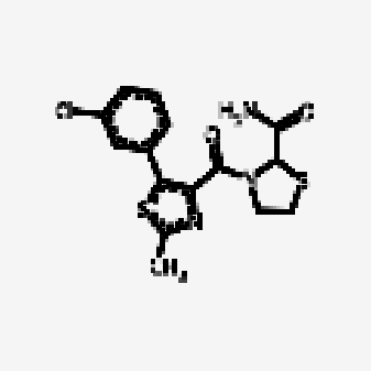 Cc1nc(C(=O)N2CCSC2C(N)=O)c(-c2cccc(Cl)c2)s1